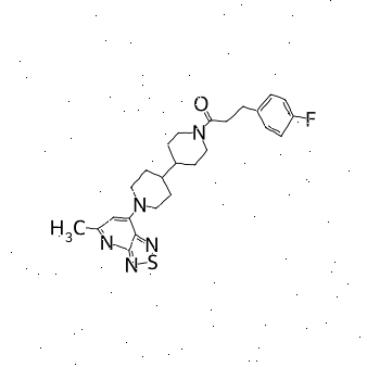 Cc1cc(N2CCC(C3CCN(C(=O)CCc4ccc(F)cc4)CC3)CC2)c2nsnc2n1